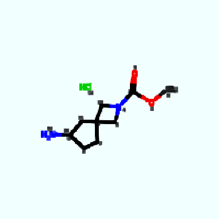 CC(C)(C)OC(=O)N1CC2(CC[C@@H](N)C2)C1.Cl